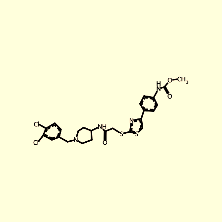 COC(=O)Nc1ccc(-c2csc(SCC(=O)NC3CCN(Cc4ccc(Cl)c(Cl)c4)CC3)n2)cc1